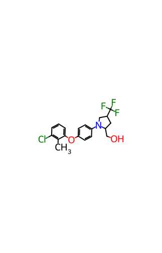 Cc1c(Cl)cccc1Oc1ccc(N2CC(C(F)(F)F)CC2CO)cc1